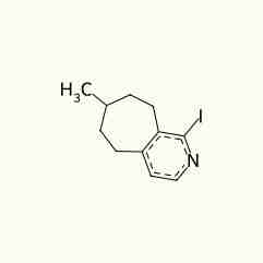 CC1CCc2ccnc(I)c2CC1